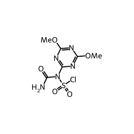 COc1nc(OC)nc(N(C(N)=O)S(=O)(=O)Cl)n1